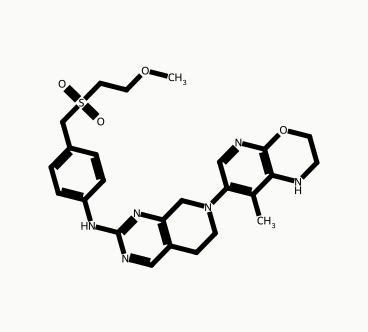 COCCS(=O)(=O)Cc1ccc(Nc2ncc3c(n2)CN(c2cnc4c(c2C)NCCO4)CC3)cc1